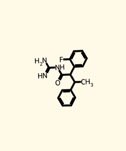 CC(c1ccccc1)C(C(=O)NC(=N)N)c1ccccc1F